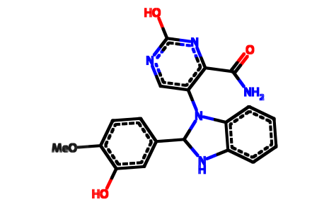 COc1ccc(C2Nc3ccccc3N2c2cnc(O)nc2C(N)=O)cc1O